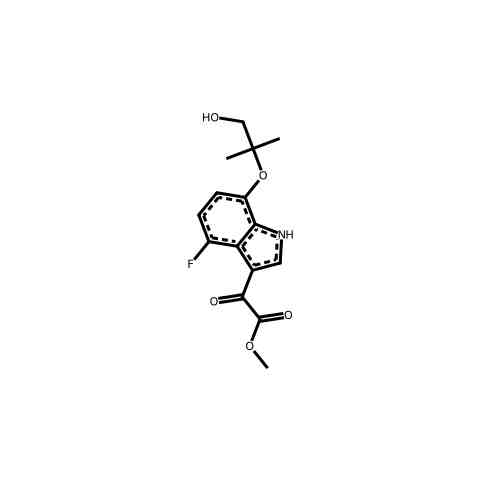 COC(=O)C(=O)c1c[nH]c2c(OC(C)(C)CO)ccc(F)c12